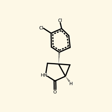 O=C1NC[C@@]2(c3ccc(Cl)c(Cl)c3)C[C@@H]12